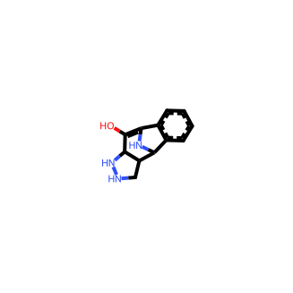 OC1=C2NC(c3ccccc32)C2CNNC12